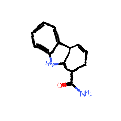 NC(=O)C1CC=CC2c3ccccc3NC12